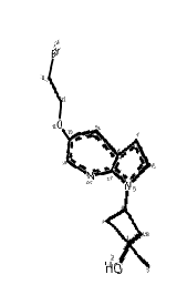 CC1(O)CC(n2ccc3cc(OCCBr)cnc32)C1